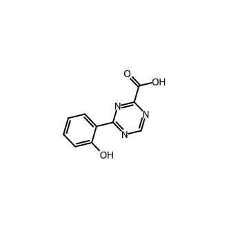 O=C(O)c1ncnc(-c2ccccc2O)n1